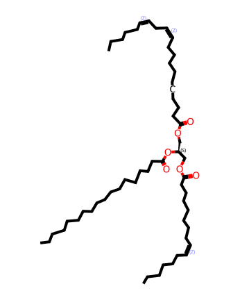 CCCCC/C=C\C/C=C\CCCCCCCCCC(=O)OC[C@@H](COC(=O)CCCCCCC/C=C\CCCCCC)OC(=O)CCCCCCCCCCCCCCCCC